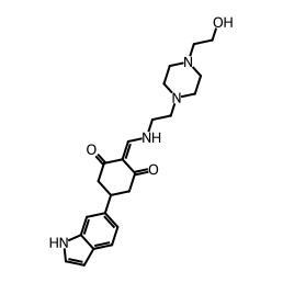 O=C1CC(c2ccc3cc[nH]c3c2)CC(=O)C1=CNCCN1CCN(CCO)CC1